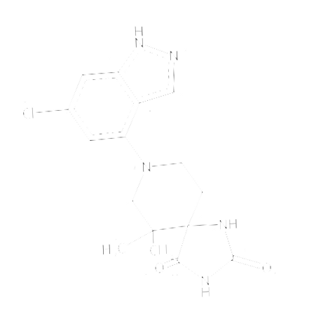 CC1(C)CN(c2cc(Cl)cc3[nH]ncc23)CCC12NC(=O)NC2=O